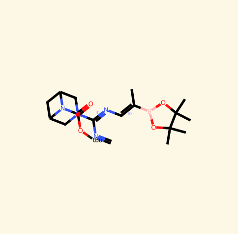 C=N/C(=N\C=C(/C)B1OC(C)(C)C(C)(C)O1)N1CC2CC(C1)N2C(=O)OC(C)(C)C